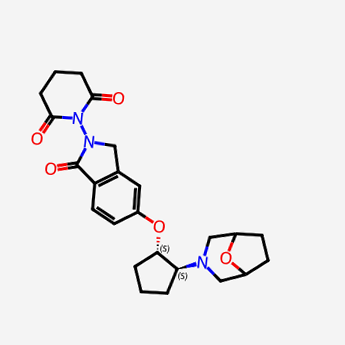 O=C1c2ccc(O[C@H]3CCC[C@@H]3N3CC4CCC(C3)O4)cc2CN1N1C(=O)CCCC1=O